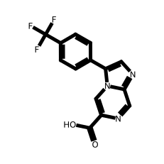 O=C(O)c1cn2c(-c3ccc(C(F)(F)F)cc3)cnc2cn1